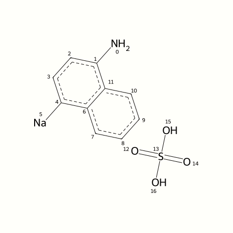 Nc1cc[c]([Na])c2ccccc12.O=S(=O)(O)O